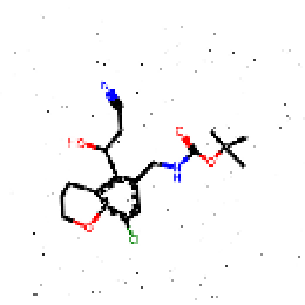 CC(C)(C)OC(=O)NCc1cc(Cl)c2c(c1C(O)CC#N)CCCO2